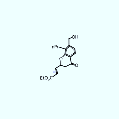 CCCc1c(CO)ccc2c1OC(/C=C/C(=O)OCC)CC2=O